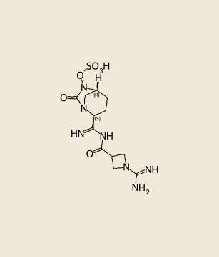 N=C(NC(=O)C1CN(C(=N)N)C1)[C@@H]1CC[C@@H]2CN1C(=O)N2OS(=O)(=O)O